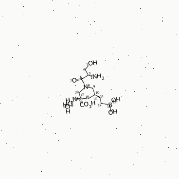 Cl.Cl.NC(CO)C(=O)N1C[C@@H](CCB(O)O)C[C@](N)(C(=O)O)C1